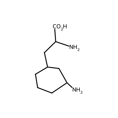 NC1CCCC(CC(N)C(=O)O)C1